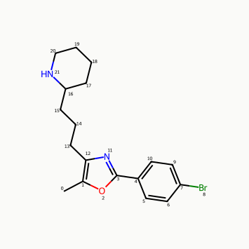 Cc1oc(-c2ccc(Br)cc2)nc1CCCC1CCCCN1